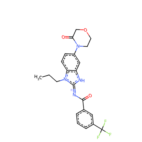 CCCn1/c(=N/C(=O)c2cccc(C(F)(F)F)c2)[nH]c2cc(N3CCOCC3=O)ccc21